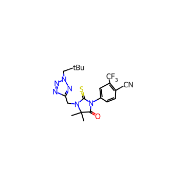 CC(C)(C)Cn1nnc(CN2C(=S)N(c3ccc(C#N)c(C(F)(F)F)c3)C(=O)C2(C)C)n1